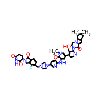 Cn1cc(-c2ccnc(N3CCn4c(cc5c4CC(C)(C)C5)C3=O)c2CO)cc(Nc2ccc(N3CCN(Cc4ccc5c(c4F)CN(C4CCC(=O)NC4=O)C5=O)CC3)cn2)c1=O